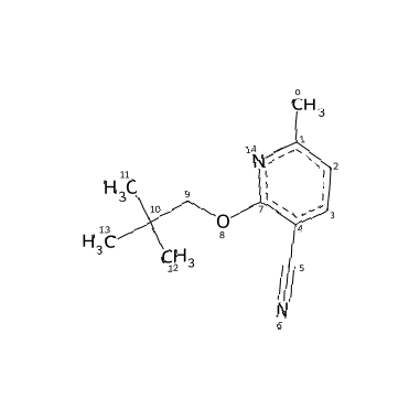 Cc1ccc(C#N)c(OCC(C)(C)C)n1